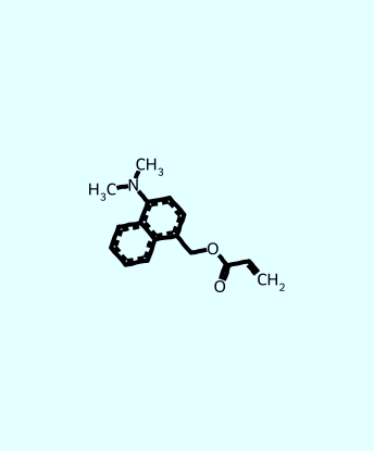 C=CC(=O)OCc1ccc(N(C)C)c2ccccc12